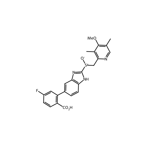 COc1c(C)cnc(C[S+]([O-])c2nc3cc(-c4cc(F)ccc4C(=O)O)ccc3[nH]2)c1C